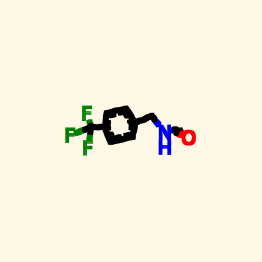 O=[C]NCc1ccc(C(F)(F)F)cc1